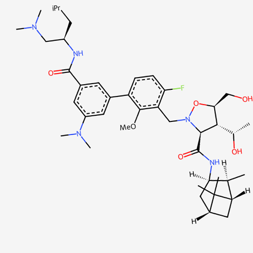 COc1c(-c2cc(C(=O)N[C@H](CC(C)C)CN(C)C)cc(N(C)C)c2)ccc(F)c1CN1O[C@@H](CO)[C@H]([C@H](C)O)[C@H]1C(=O)N[C@@H]1C[C@H]2C[C@@H]([C@@H]1C)C2(C)C